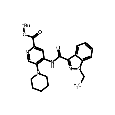 CC(C)(C)OC(=O)c1cc(NC(=O)c2nn(CC(F)(F)F)c3ccccc23)c(N2CCCCC2)cn1